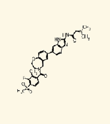 Cc1c(C(=O)N2CCOc3ccc(-c4ccc5nc(NC(=O)CN(C)C)[nH]c5c4)cc3C2)ccc(S(C)(=O)=O)c1F